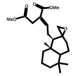 COC(=O)C/C(=C\C[C@H]1C2(CCC3C(C)(C)CCC[C@@]31C)CO2)C(=O)OC